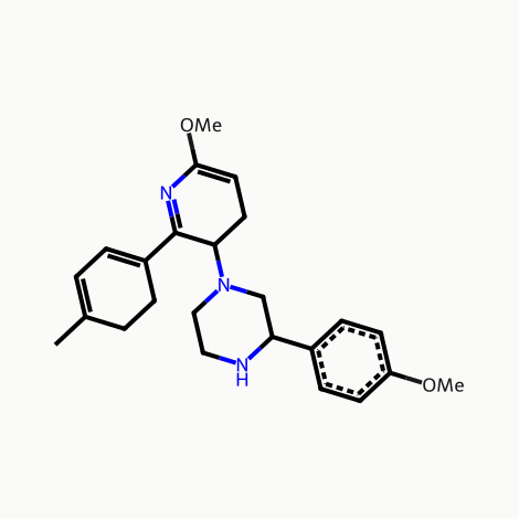 COC1=CCC(N2CCNC(c3ccc(OC)cc3)C2)C(C2=CC=C(C)CC2)=N1